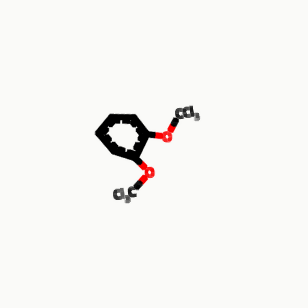 ClC(Cl)(Cl)Oc1ccccc1OC(Cl)(Cl)Cl